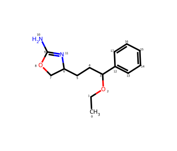 CCOC(CCC1COC(N)=N1)c1ccccc1